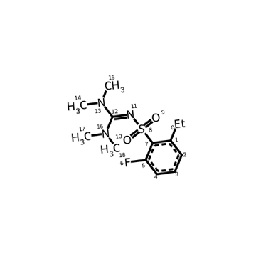 CCc1cccc(F)c1S(=O)(=O)N=C(N(C)C)N(C)C